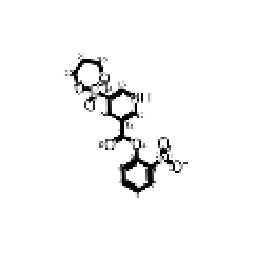 O=C(Oc1ccccc1[N+](=O)[O-])C1=CNC=C(P2(=O)OCCCO2)C1